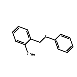 COc1ccccc1CSc1ccccc1